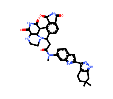 CN(C(=O)CC(c1ccc2c(c1C1CCC(=O)NC1=O)C(=O)NC2=O)N1CCNCC1)c1ccc2cc(-c3n[nH]c4c3CCC(C)(C)C4)[nH]c2c1